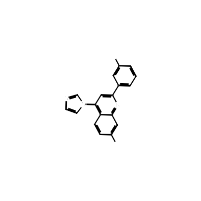 O=C(O)c1cccc(-c2cc(-n3ccnc3)c3ccc(Cl)cc3n2)c1